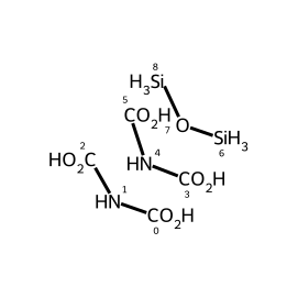 O=C(O)NC(=O)O.O=C(O)NC(=O)O.[SiH3]O[SiH3]